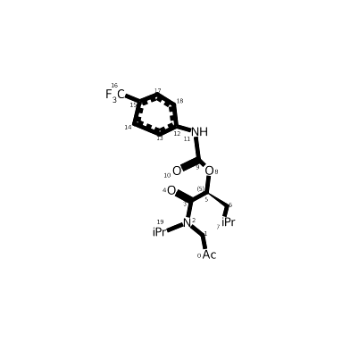 CC(=O)CN(C(=O)[C@H](CC(C)C)OC(=O)Nc1ccc(C(F)(F)F)cc1)C(C)C